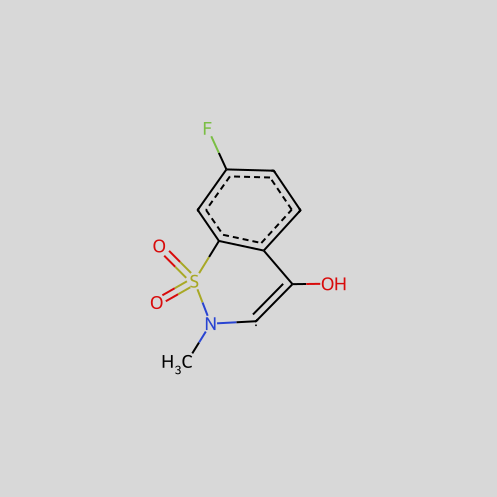 CN1[C]=C(O)c2ccc(F)cc2S1(=O)=O